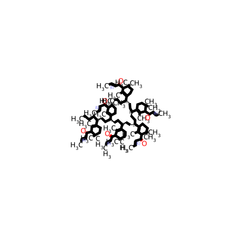 C/C=C/C(=O)C1C(C)=C([C@H](CC[C@H](CC[C@@H](CC[C@H](CCCC)C2=C(C)C(C(=O)/C=C/C)C(C)(C)CC2)C2=C(C)C(C(=O)/C=C/C)C(C)(C)CC2)C2=C(C)C(C(=O)/C=C/C)C(C)(C)CC2)CC[C@@H](CC[C@H](CCC)C2=C(C)C(C(=O)/C=C/C)C(C)(C)CC2)C2=C(C)C(C(=O)/C=C/C)C(C)(C)CC2)CCC1(C)C